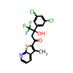 Cc1c(C(=O)CC(O)(c2cc(Cl)cc(Cl)c2)C(F)(F)F)sc2ncccc12